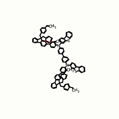 C=Cc1ccc(CC2(Cc3ccc(C=C)cc3)c3ccccc3-c3ccc(-c4ccc(N(c5ccc(-c6ccc(N(c7ccc(-c8ccc9c(c8)C(Cc8ccc(C=C)cc8)(Cc8ccc(C=C)cc8)C8C=CC=CC98)cc7)c7ccc8c(c7)sc7ccccc78)cc6)cc5)c5ccc6c(c5)sc5ccccc56)cc4)cc32)cc1